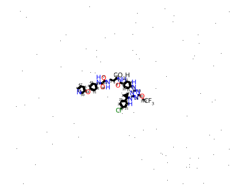 O=C(NCC[C@H](NC(=O)c1ccc(Nc2nc(NC3(c4ccc(Cl)cc4)CC3)nc(OCC(F)(F)F)n2)cc1)C(=O)O)C(=O)Nc1ccc(Oc2cccnc2)cc1